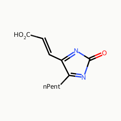 CCCCCC1=NC(=O)N=C1C=CC(=O)O